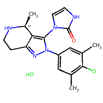 Cc1cc(-n2nc3c(c2-n2cc[nH]c2=O)[C@H](C)NCC3)cc(C)c1Cl.Cl